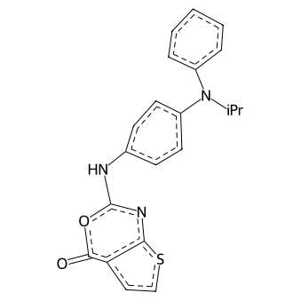 CC(C)N(c1ccccc1)c1ccc(Nc2nc3sccc3c(=O)o2)cc1